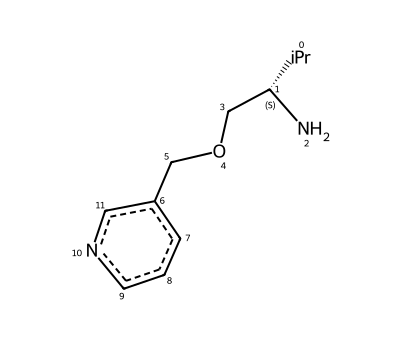 CC(C)[C@H](N)COCc1cccnc1